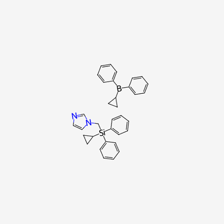 c1ccc(B(c2ccccc2)C2CC2)cc1.c1ccc([Si](Cn2ccnc2)(c2ccccc2)C2CC2)cc1